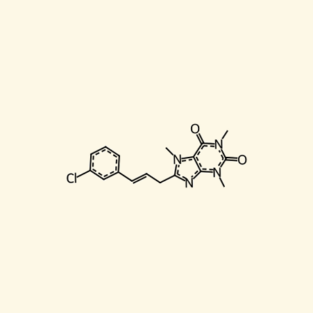 Cn1c(=O)c2c(nc(C/C=C/c3cccc(Cl)c3)n2C)n(C)c1=O